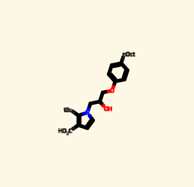 CCCCCCCCc1ccc(OCC(O)Cn2ccc(C(=O)O)c2C(C)(C)C)cc1